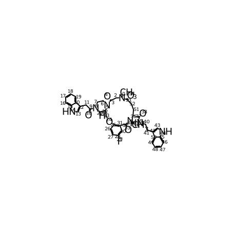 CN1CC(=O)N2CCN(C(=O)Cc3c[nH]c4ccccc34)C[C@H]2COc2ccc(F)cc2C(=O)N(C)[C@H](C(=O)NCCc2c[nH]c3ccccc23)CCC1=O